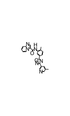 Cc1cncc(-c2noc(-c3ccc(C)c(NC(=O)c4cnc5ccccn45)c3)n2)c1